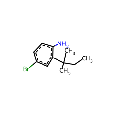 CCC(C)(C)c1cc(Br)ccc1N